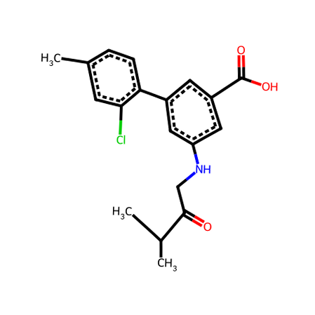 Cc1ccc(-c2cc(NCC(=O)C(C)C)cc(C(=O)O)c2)c(Cl)c1